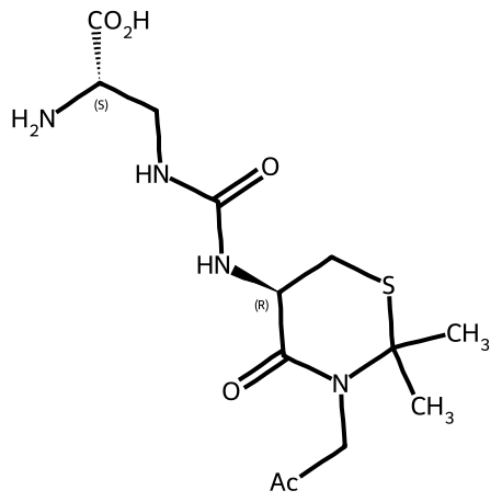 CC(=O)CN1C(=O)[C@@H](NC(=O)NC[C@H](N)C(=O)O)CSC1(C)C